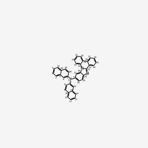 c1ccc2cc(P(c3ccc4ccccc4c3)c3ccc4nc5c6ccccc6c6ccccc6n5c4c3)ccc2c1